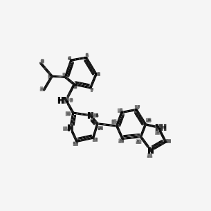 CC(C)c1ccccc1Nc1nccc(-c2ccc3[nH]cnc3c2)n1